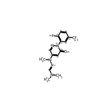 CN(C)C=NN(C)c1cnn(-c2cc(C(F)(F)F)ccc2F)c(=O)c1